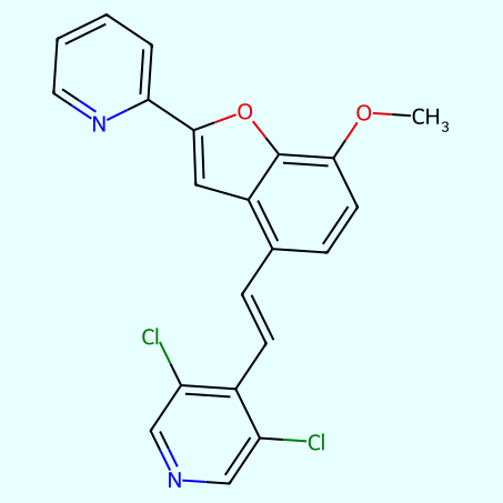 COc1ccc(/C=C/c2c(Cl)cncc2Cl)c2cc(-c3ccccn3)oc12